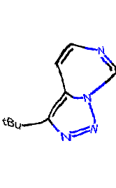 CC(C)(C)c1nnn2cnccc12